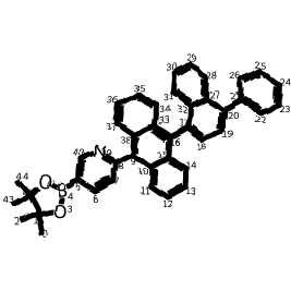 CC1(C)OB(c2ccc(-c3c4ccccc4c(-c4ccc(-c5ccccc5)c5ccccc45)c4ccccc34)nc2)OC1(C)C